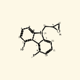 Fc1cccc2c1c1c(F)cccc1n2CC1CO1